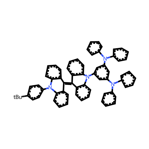 CC(C)(C)c1ccc(N2c3ccccc3C(=C3c4ccccc4N(c4cc(N(c5ccccc5)c5ccccc5)cc(N(c5ccccc5)c5ccccc5)c4)c4ccccc43)c3ccccc32)cc1